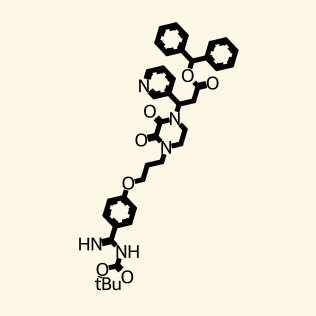 CC(C)(C)OC(=O)NC(=N)c1ccc(OCCCN2CCN(C(CC(=O)OC(c3ccccc3)c3ccccc3)c3cccnc3)C(=O)C2=O)cc1